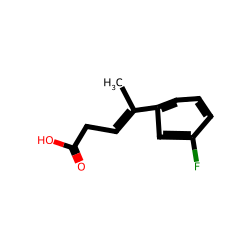 CC(=CCC(=O)O)c1cccc(F)c1